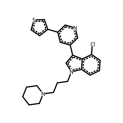 Clc1cccc2c1c(-c1cncc(-c3ccsc3)c1)cn2CCCN1CCCCC1